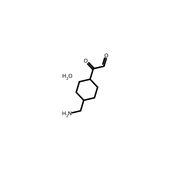 NCC1CCC(C(=O)C=O)CC1.O